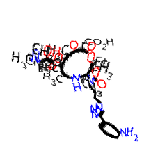 CCO[C@@H](O[C@@H]1[C@@H](C)C(=O)[C@@H](CC(=O)O)C(=O)O[C@H](CC)[C@@]2(C)OC(=O)N(CCCCn3cc(-c4cccc(N)c4)nn3)[C@@H]2[C@@H](C)NC[C@H](C)C[C@@]1(C)OC)C(O)C(CC)N(C)C